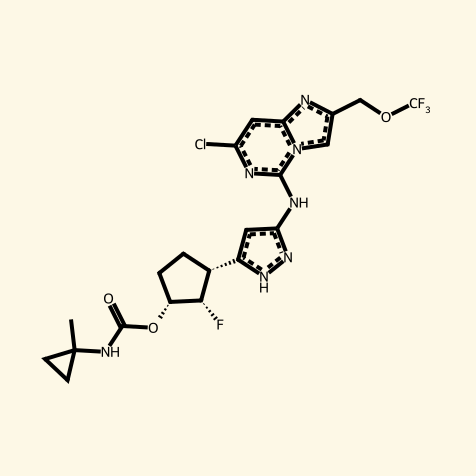 CC1(NC(=O)O[C@@H]2CC[C@H](c3cc(Nc4nc(Cl)cc5nc(COC(F)(F)F)cn45)n[nH]3)[C@@H]2F)CC1